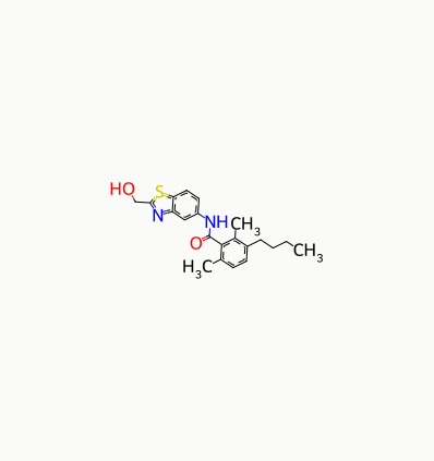 CCCCc1ccc(C)c(C(=O)Nc2ccc3sc(CO)nc3c2)c1C